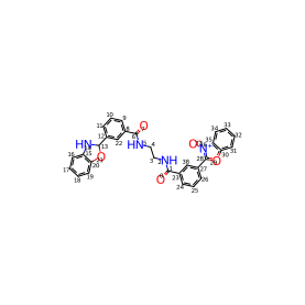 O=C(NCCNC(=O)c1cccc(C2Nc3ccccc3O2)c1)c1cccc(-c2oc3ccccc3[n+]2[O-])c1